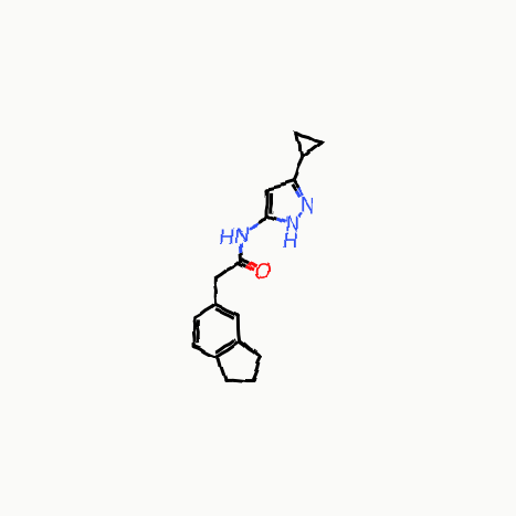 O=C(Cc1ccc2c(c1)CCC2)Nc1cc(C2CC2)n[nH]1